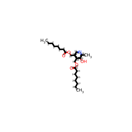 CCCCCCCC(=O)OCc1cnc(C)c(O)c1COC(=O)CCCCCCC